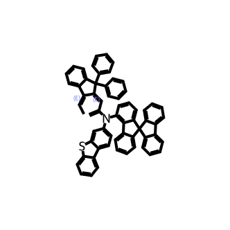 C=C(/C=C1\C(=C/C)c2ccccc2C1(c1ccccc1)c1ccccc1)N(c1ccc2c(c1)sc1ccccc12)c1cccc2c1-c1ccccc1C21c2ccccc2-c2ccccc21